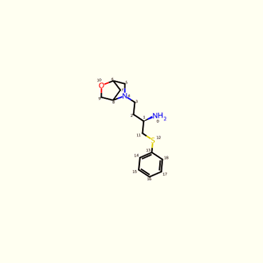 N[C@H](CCN1CC2CC1CO2)CSc1ccccc1